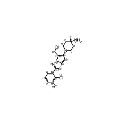 CC1(N)CCN(c2nc3sc(-c4cccc(Cl)c4Cl)nn3c2CO)CC1